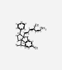 CCC(/C=C\N)=C/C=C/C12Cc3cc(CC)cc4c3C1(CCC2c1ccccc1)C4C